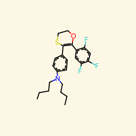 CCCCN(CCCC)c1ccc(C2=C(c3cc(F)c(F)cc3F)OCCS2)cc1